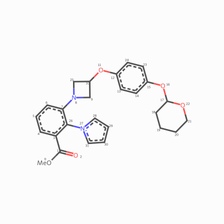 COC(=O)c1cccc(N2CC(Oc3ccc(OC4CCCCO4)cc3)C2)c1-n1cccc1